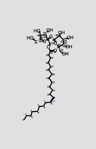 CCCCCCCC/C=C\CCCCCCCCCCCC(=O)OC[C@@]1(O[C@H]2O[C@H](CO)[C@@H](O)[C@H](O)[C@H]2O)O[C@H](CO)[C@@H](O)[C@@H]1O